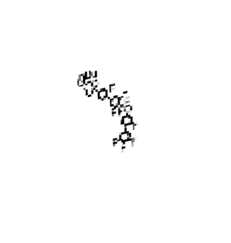 CCCCOC1COC(c2ccc(-c3cc(F)c(C(F)(F)Oc4ccc(-c5cc(F)c(F)c(F)c5)c(F)c4)c(F)c3)c(F)c2)OC1